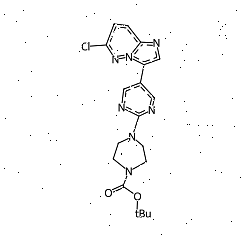 CC(C)(C)OC(=O)N1CCN(c2ncc(-c3cnc4ccc(Cl)nn34)cn2)CC1